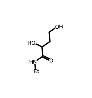 CCNC(=O)C(O)CCO